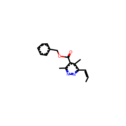 C/C=C\c1nnc(C)c(C(=O)OCc2ccccc2)c1C